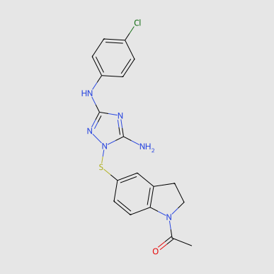 CC(=O)N1CCc2cc(Sn3nc(Nc4ccc(Cl)cc4)nc3N)ccc21